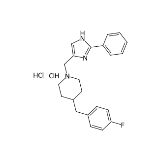 Cl.Cl.Fc1ccc(CC2CCN(Cc3c[nH]c(-c4ccccc4)n3)CC2)cc1